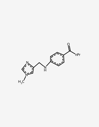 CCCC(=O)c1ccc(NCc2cn(C)cn2)cc1